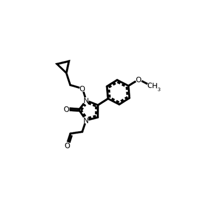 COc1ccc(-c2cn(CC=O)c(=O)n2OCC2CC2)cc1